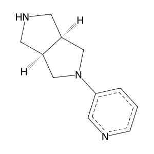 c1cncc(N2C[C@H]3CNC[C@H]3C2)c1